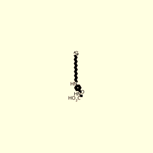 CC(NC(=O)c1ccc(NCCCCCCCCCCCCCC[Si](C)(C)C)cc1)C(=O)O